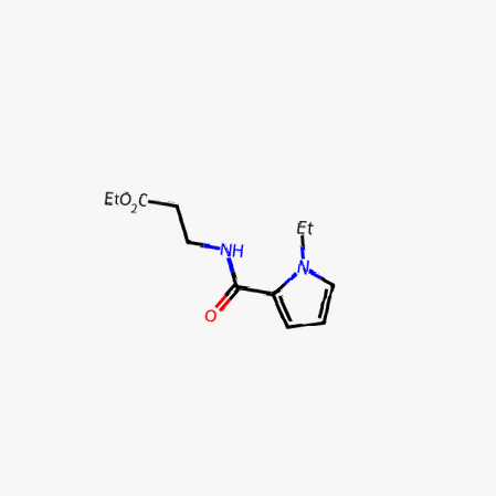 CCOC(=O)CCNC(=O)c1cccn1CC